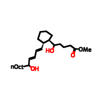 CCCCCCCCC(O)/C=C/C=C/[C@@H]1CCCC[C@H]1C(O)CCCC(=O)OC